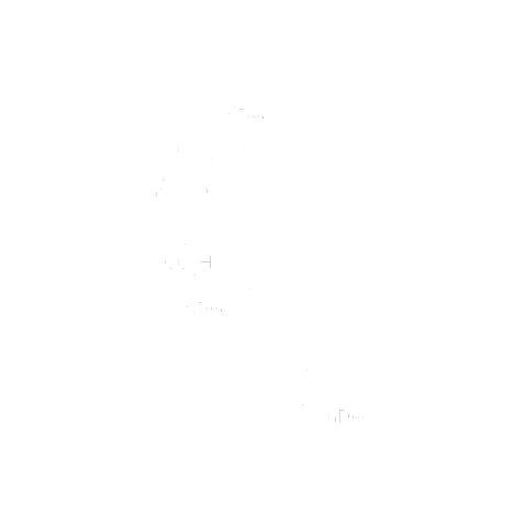 CCCCCCCCCCCC(=O)O.CCCCCCCCCCCCCCCCCCCC(=O)OC(=O)CCCCCCCCCCC